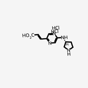 Cl.Cl.O=C(O)C=Cc1cnc(N[C@@H]2CCNC2)cn1